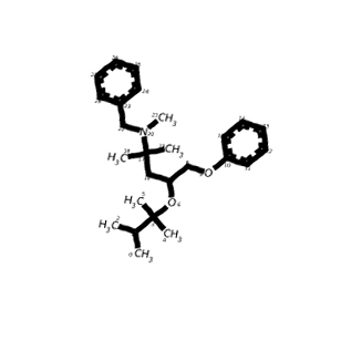 CC(C)C(C)(C)OC(COc1ccccc1)CC(C)(C)N(C)Cc1ccccc1